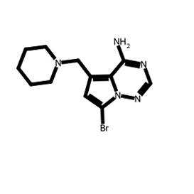 Nc1ncnn2c(Br)cc(CN3CCCCC3)c12